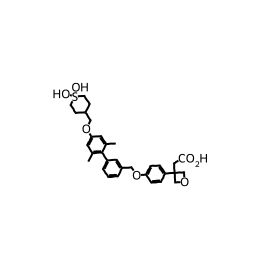 Cc1cc(OCC2CCS(O)(O)CC2)cc(C)c1-c1cccc(COc2ccc(C3(CC(=O)O)COC3)cc2)c1